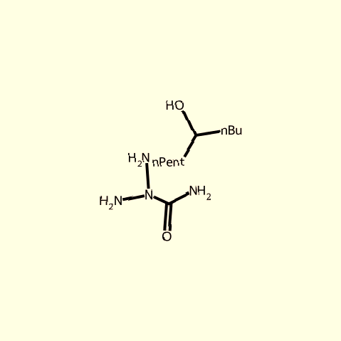 CCCCCC(O)CCCC.NC(=O)N(N)N